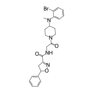 CN(c1ccccc1Br)C1CCN(C(=O)CNC(=O)C2=NOC(c3ccccc3)C2)CC1